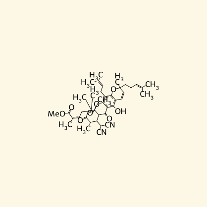 COC(=O)/C(C)=C\CC12OC(C)(C)C(C)C13Oc1c(CC=C(C)C)c4c(c(O)c1C(=O)C3C(C(C#N)C#N)C(C)C2=O)C=CC(C)(CCC=C(C)C)O4